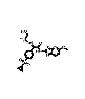 COc1ccc2nc(NC(=O)/C(=N/O[C@@H](C)CO)c3ccc(S(=O)(=O)C4CC4)cc3)sc2n1